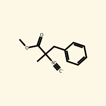 [C-]#[N+]C(C)(Cc1ccccc1)C(=O)OC